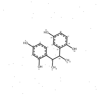 CC(c1ccc(O)cc1O)C(C)c1cc(O)ccc1O